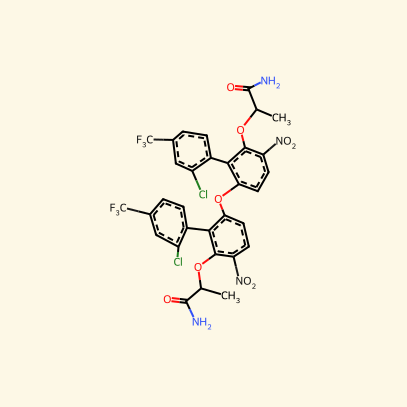 CC(Oc1c([N+](=O)[O-])ccc(Oc2ccc([N+](=O)[O-])c(OC(C)C(N)=O)c2-c2ccc(C(F)(F)F)cc2Cl)c1-c1ccc(C(F)(F)F)cc1Cl)C(N)=O